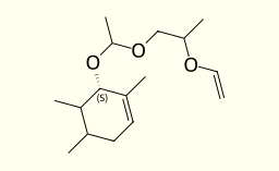 C=COC(C)COC(C)O[C@@H]1C(C)=CCC(C)C1C